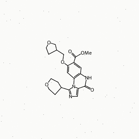 COC(=O)c1cc2[nH]c(=O)c3cnc(C4CCOCC4)n3c2cc1OCC1CCOC1